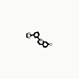 Clc1ccc(/C=C\Cc2cccc(C3OCCO3)c2)c(Br)c1